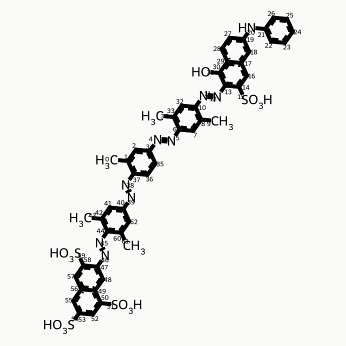 Cc1cc(N=Nc2cc(C)c(N=Nc3c(S(=O)(=O)O)cc4cc(Nc5ccccc5)ccc4c3O)cc2C)ccc1N=Nc1cc(C)c(N=Nc2cc3c(S(=O)(=O)O)cc(S(=O)(=O)O)cc3cc2S(=O)(=O)O)c(C)c1